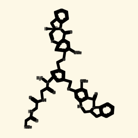 CNCC(=O)NCC(=O)NCC(=O)N(C)c1cc(COc2cc3c(cc2OC)C(=O)N2c4ccccc4C[C@H]2C=N3)cc(COc2cc3c(cc2OC)C(=O)N2c4ccccc4CC2CN3)c1